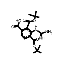 CC(C)(C)OC(=O)c1ccc(C(=O)O)c(C(=O)OC(C)(C)C)c1NC(=N)N